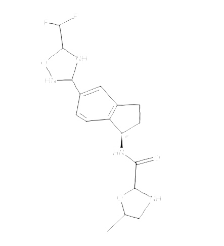 CC1CNC(C(=O)N[C@@H]2CCc3cc(C4NOC(C(F)F)N4)ccc32)O1